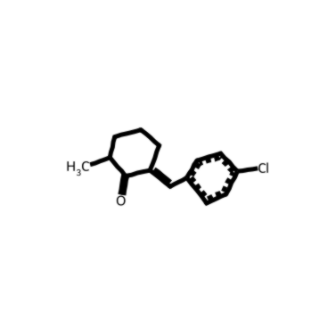 CC1CCC/C(=C\c2ccc(Cl)cc2)C1=O